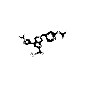 NC(=O)c1cc(-c2cnn(C(F)F)c2)c2c(n1)CN(Cc1ccnc(OC(F)F)c1)CC2